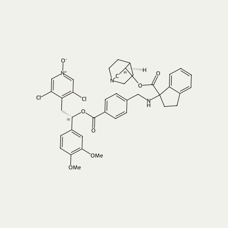 COc1ccc([C@H](Cc2c(Cl)c[n+]([O-])cc2Cl)OC(=O)c2ccc(CNC3(C(=O)O[C@H]4CN5CCC4CC5)CCc4ccccc43)cc2)cc1OC